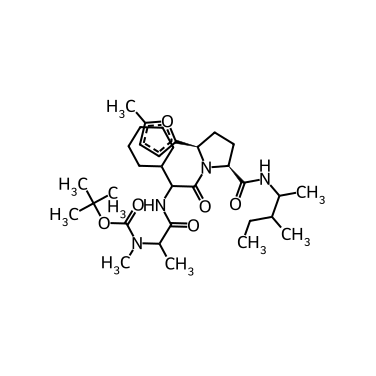 CCC(C)C(C)NC(=O)[C@@H]1CC[C@H](c2ccc(C)o2)N1C(=O)C(NC(=O)C(C)N(C)C(=O)OC(C)(C)C)C1CCCCC1